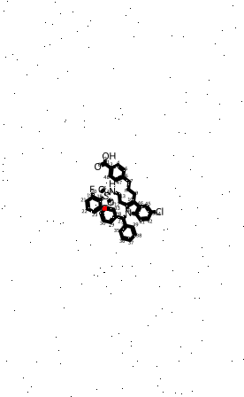 O=C(O)c1ccc(CCCc2c(CCNS(=O)(=O)c3c(F)cccc3F)n(C(c3ccccc3)c3ccccc3)c3ccc(Cl)cc23)cc1